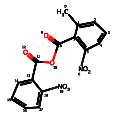 Cc1cccc([N+](=O)[O-])c1C(=O)OC(=O)c1ccccc1[N+](=O)[O-]